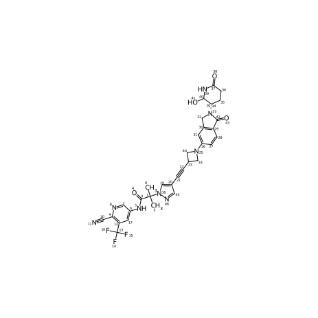 CC(C)(C(=O)Nc1cnc(C#N)c(C(F)(F)F)c1)n1cc(C#CC2CN(c3ccc4c(c3)CN([C@H]3CCC(=O)NC3O)C4=O)C2)cn1